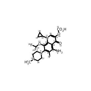 CN1CCN(c2c(F)c(N)c3c(=O)c(OC(=O)O)cn(C4CC4)c3c2OC(F)F)CC1